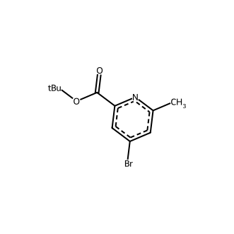 Cc1cc(Br)cc(C(=O)OC(C)(C)C)n1